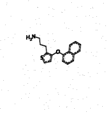 NCCCc1sccc1Oc1cccc2ccccc12